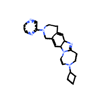 C1=C2CCN(c3cnccn3)CC2=CC2C1N=C1CCN(C3CCC3)CCN12